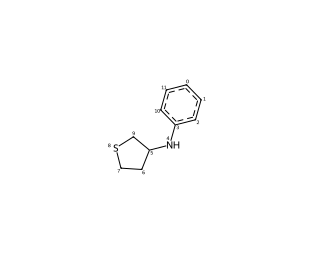 c1ccc(NC2CCSC2)cc1